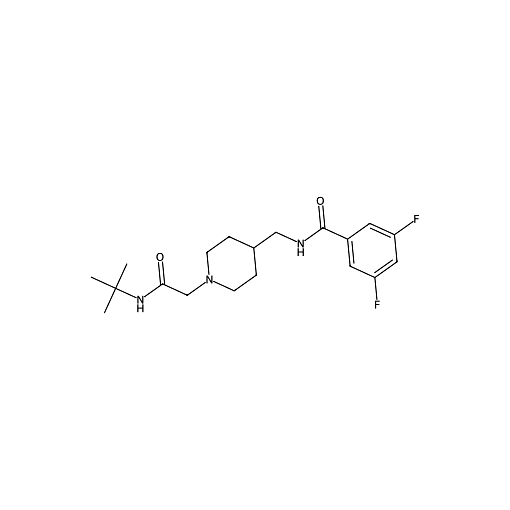 CC(C)(C)NC(=O)CN1CCC(CNC(=O)c2cc(F)cc(F)c2)CC1